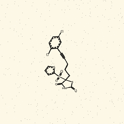 O=C1NC(=O)C(CCCC#Cc2cc(Cl)ccc2Cl)(S(=O)(=O)c2cccs2)S1